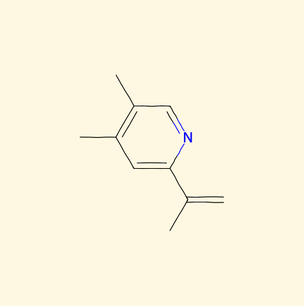 C=C(C)c1cc(C)c(C)cn1